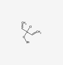 C=C[Si](Cl)(C=C)OC(C)C